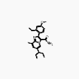 CCc1cc(OC)ccc1-c1nc2c(C)cc(C(CC)CC)cn2c1C(N)=O